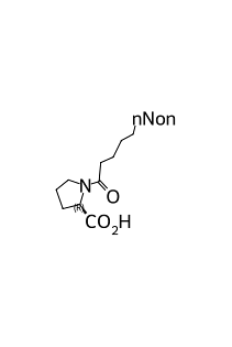 CCCCCCCCCCCCCC(=O)N1CCC[C@@H]1C(=O)O